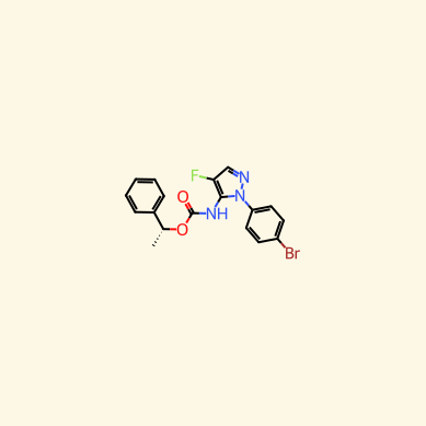 C[C@@H](OC(=O)Nc1c(F)cnn1-c1ccc(Br)cc1)c1ccccc1